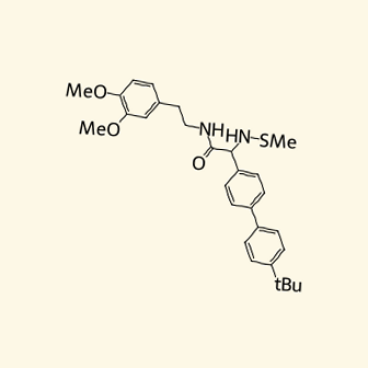 COc1ccc(CCNC(=O)C(NSC)c2ccc(-c3ccc(C(C)(C)C)cc3)cc2)cc1OC